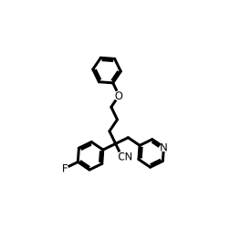 N#CC(CCCOc1ccccc1)(Cc1cccnc1)c1ccc(F)cc1